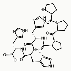 O=C(O)[C@H](Cc1c[nH]cn1)NC(=O)[C@H](Cc1c[nH]cn1)NC(=O)[C@H](Cc1c[nH]cn1)NC(=O)[C@@H]1CCCN1C(=O)[C@@H]1CCCN1C(=O)[C@@H]1CCCN1